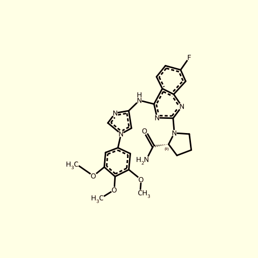 COc1cc(-n2cnc(Nc3nc(N4CCC[C@@H]4C(N)=O)nc4cc(F)ccc34)c2)cc(OC)c1OC